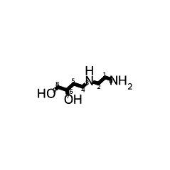 NCCNCCC(O)CO